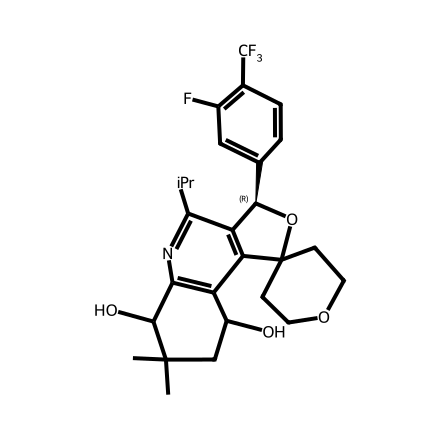 CC(C)c1nc2c(c3c1[C@@H](c1ccc(C(F)(F)F)c(F)c1)OC31CCOCC1)C(O)CC(C)(C)C2O